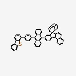 c1ccc2c3c(ccc2c1)C1(c2cc(-c4c5ccccc5c(-c5ccc(-c6cccc7c6sc6ccccc67)cc5)c5ccccc45)ccc2-3)C2CC3CC(C2)CC1C3